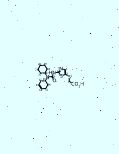 O=C(O)CSc1cnc(NC(=O)N(C2CC=CCC2)C2CCCCC2)s1